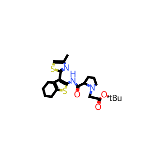 Cc1csc(-c2c(NC(=O)C3CCCN3CC(=O)OC(C)(C)C)sc3c2CCCC3)n1